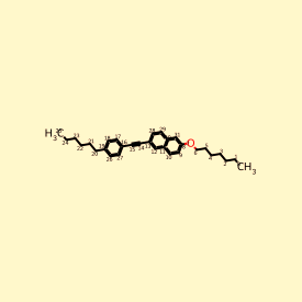 CCCCCCCOc1ccc2cc(C#Cc3ccc(CCCCCC)cc3)ccc2c1